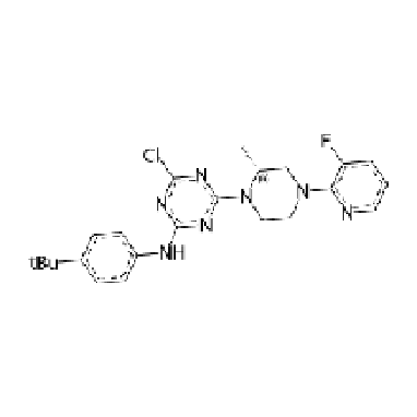 C[C@@H]1CN(c2ncccc2F)CCN1c1nc(Cl)nc(Nc2ccc(C(C)(C)C)cc2)n1